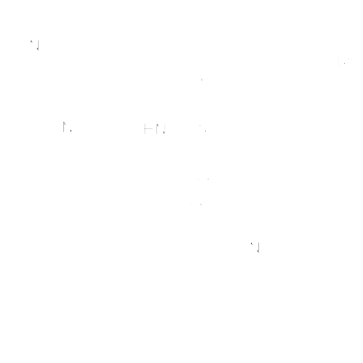 O=C(c1ccc(Br)cc1S(=O)(=O)Nc1cccc2nccnc12)N1CCCCCC1